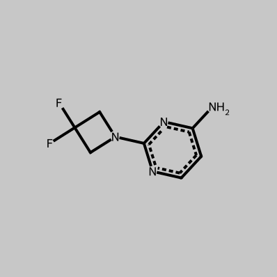 Nc1ccnc(N2CC(F)(F)C2)n1